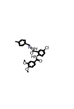 COc1ccc(C(=O)Nc2ccc(Cl)cc2C(=O)N/N=C/c2ccc(C)cc2)cc1OC